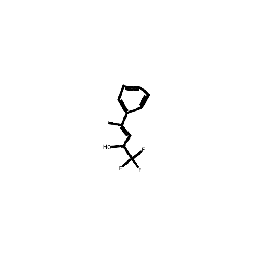 CC(=CC(O)C(F)(F)F)c1ccccc1